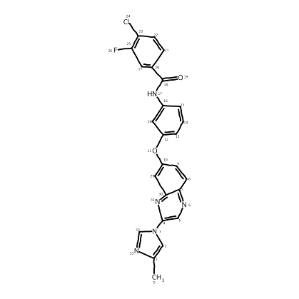 Cc1cn(-c2cnc3ccc(Oc4cccc(NC(=O)c5ccc(Cl)c(F)c5)c4)cc3n2)cn1